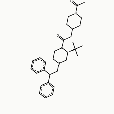 CC(=O)N1CCC(CC(=O)N2CCN(CC(c3ccccc3)c3ccccc3)C[C@@H]2C(C)(C)C)CC1